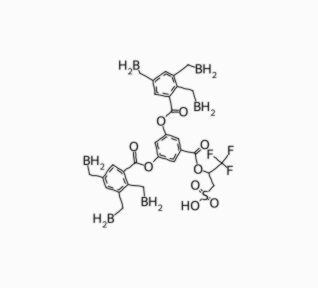 BCc1cc(CB)c(CB)c(C(=O)Oc2cc(OC(=O)c3cc(CB)cc(CB)c3CB)cc(C(=O)OC(CS(=O)(=O)O)C(F)(F)F)c2)c1